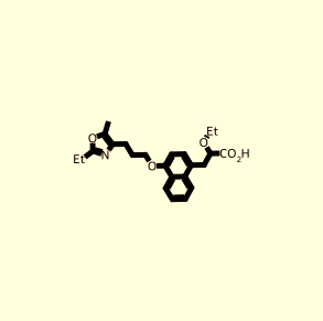 CCOC(Cc1ccc(OCCCc2nc(CC)oc2C)c2ccccc12)C(=O)O